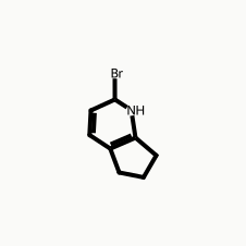 BrC1C=CC2=C(CCC2)N1